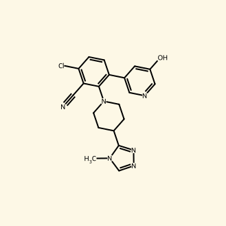 Cn1cnnc1C1CCN(c2c(-c3cncc(O)c3)ccc(Cl)c2C#N)CC1